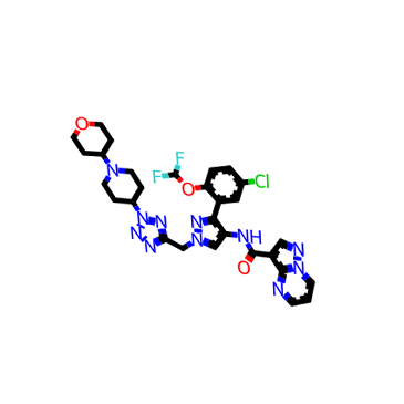 O=C(Nc1cn(Cc2nnn(C3CCN(C4CCOCC4)CC3)n2)nc1-c1cc(Cl)ccc1OC(F)F)c1cnn2cccnc12